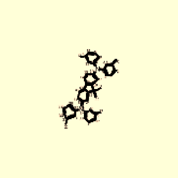 Cc1cccc(N(c2cccc(C)c2)c2ccc3c(c2)C(C)(C)c2cc(N(c4cccc(C)c4)c4cccc(C)c4)ccc2-3)c1